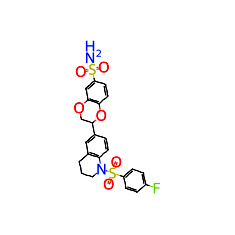 NS(=O)(=O)c1ccc2c(c1)OCC(c1ccc3c(c1)CCCN3S(=O)(=O)c1ccc(F)cc1)O2